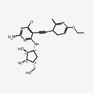 CCOC1=CCC(C#Cc2c(Cl)nc(N)nc2N[C@@H]2C[C@H](CO)[C@@H](O)[C@H]2O)C(C)=N1